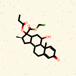 CCC(=O)OC1(C(=O)SCF)C2CC(O)C3C(CCC4=CC(=O)C=CC43C)C2C[C@H]1C